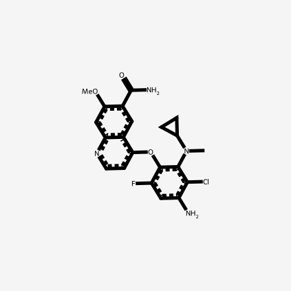 COc1cc2nccc(Oc3c(F)cc(N)c(Cl)c3N(C)C3CC3)c2cc1C(N)=O